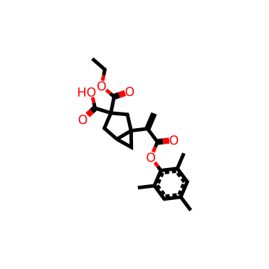 C=C(C(=O)Oc1c(C)cc(C)cc1C)C12CC1CC(C(=O)O)(C(=O)OCC)C2